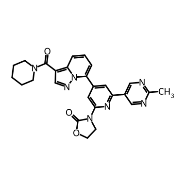 Cc1ncc(-c2cc(-c3cccc4c(C(=O)N5CCCCC5)cnn34)cc(N3CCOC3=O)n2)cn1